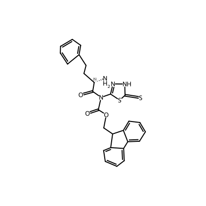 N[C@@H](CCc1ccccc1)C(=O)N(C(=O)OCC1c2ccccc2-c2ccccc21)c1n[nH]c(=S)s1